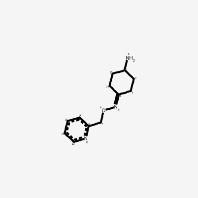 NC1CCC(=NOCc2ccccn2)CC1